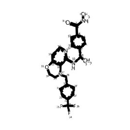 CNC(=O)c1ccc(C(C)Nc2nccc3c2N(Cc2ccc(C(F)(F)F)cc2)CCO3)cc1